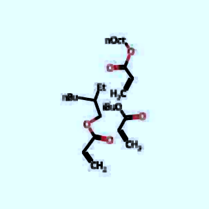 C=CC(=O)OCC(C)C.C=CC(=O)OCC(CC)CCCC.C=CC(=O)OCCCCCCCC